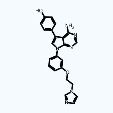 Nc1ncnc2c1c(-c1ccc(O)cc1)cn2-c1cccc(OCCn2ccnc2)c1